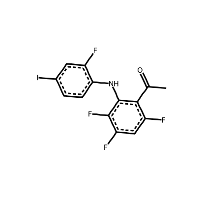 CC(=O)c1c(F)cc(F)c(F)c1Nc1ccc(I)cc1F